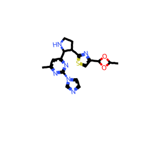 Cc1cc(C2NCCC2c2nc(C3OC(C)O3)cs2)nc(-n2ccnc2)n1